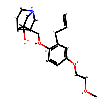 C=CCc1cc(OCCOC)ccc1OCC1(O)CN2CCC1CC2